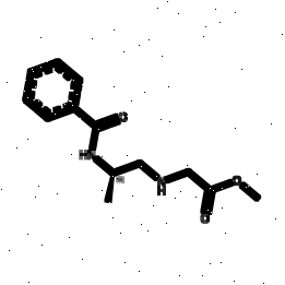 COC(=O)CNC[C@@H](C)NC(=O)c1ccccc1